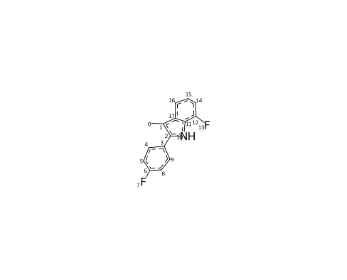 Cc1c(-c2ccc(F)cc2)[nH]c2c(F)cccc12